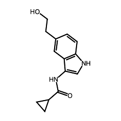 O=C(Nc1c[nH]c2ccc(CCO)cc12)C1CC1